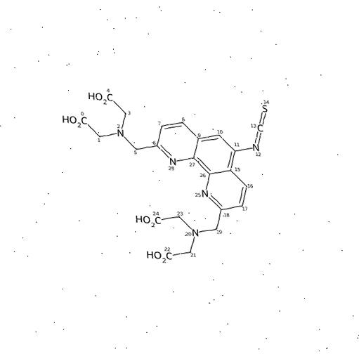 O=C(O)CN(CC(=O)O)Cc1ccc2cc(N=C=S)c3ccc(CN(CC(=O)O)CC(=O)O)nc3c2n1